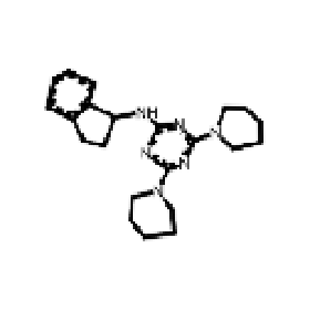 c1ccc2c(c1)CCC2Nc1nc(N2CCCCC2)nc(N2CCCCC2)n1